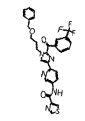 O=C(Nc1ccc(-c2cn(CCCOCc3ccccc3)c(C(=O)c3cccc(C(F)(F)F)c3)n2)nc1)c1cscn1